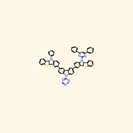 c1ccc(-c2cc(-c3ccccc3)nc(N3c4ccc(-c5ccc6c(c5)c5cc(-c7ccc8c(c7)C7Sc9ccccc9C7N8c7ccccc7)ccc5n6-c5ncncn5)cc4C4Sc5ccccc5C43)n2)cc1